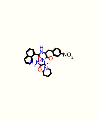 C[C@@](NC(=O)C(Cc1ccc([N+](=O)[O-])cc1)NC(=O)c1cccc2ccccc12)(C(N)=O)N1CCCCC1